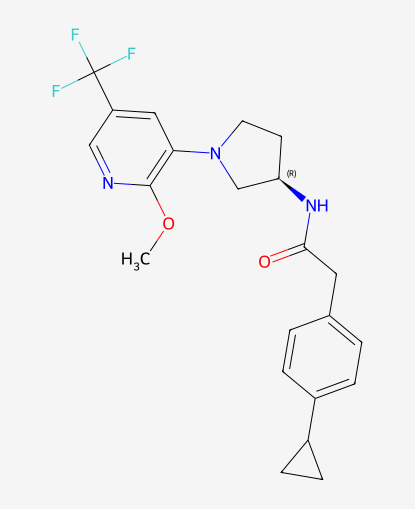 COc1ncc(C(F)(F)F)cc1N1CC[C@@H](NC(=O)Cc2ccc(C3CC3)cc2)C1